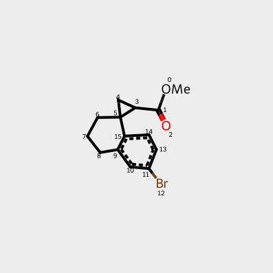 COC(=O)C1CC12CCCc1cc(Br)ccc12